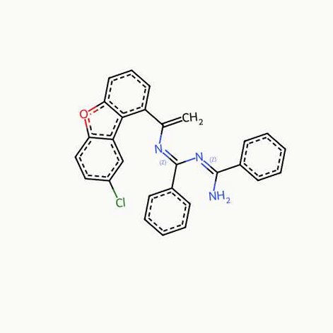 C=C(/N=C(\N=C(/N)c1ccccc1)c1ccccc1)c1cccc2oc3ccc(Cl)cc3c12